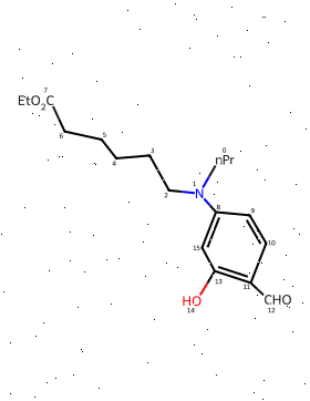 CCCN(CCCCCC(=O)OCC)c1ccc(C=O)c(O)c1